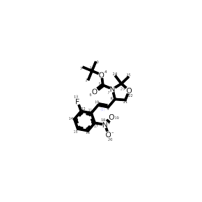 CC(C)(C)OC(=O)N1C(/C=C/c2c(F)cccc2[N+](=O)[O-])COC1(C)C